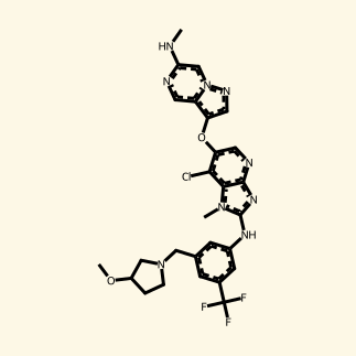 CNc1cn2ncc(Oc3cnc4nc(Nc5cc(CN6CCC(OC)C6)cc(C(F)(F)F)c5)n(C)c4c3Cl)c2cn1